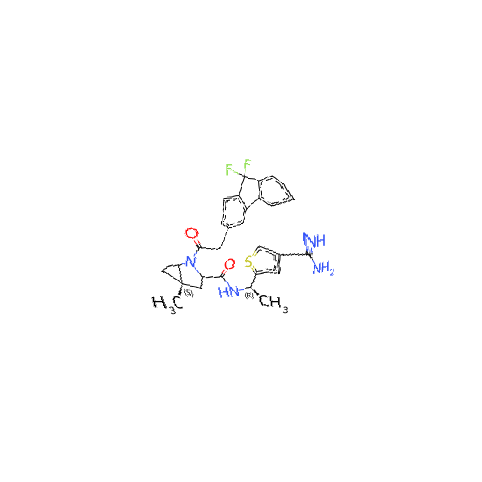 C[C@@H](NC(=O)C1C[C@]2(C)CC2N1C(=O)Cc1ccc2c(c1)-c1ccccc1C2(F)F)c1cc(C(=N)N)cs1